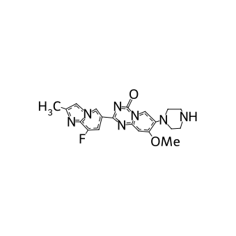 COc1cc2nc(-c3cc(F)c4nc(C)cn4c3)nc(=O)n2cc1N1CCNCC1